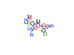 CCOc1ncccc1-c1ccc(N2CCN(C(=O)c3ccc(Cl)cc3N3CC[C@H](N(C)C)C3)C[C@H]2CC)c(C(=O)NCCN(C)C)c1F